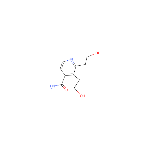 NC(=O)c1ccnc(CCO)c1CCO